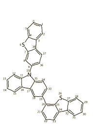 c1ccc2c(c1)sc1cc(-n3c4ccccc4c4cc(-c5cccc6c5sc5ccccc56)ccc43)ccc12